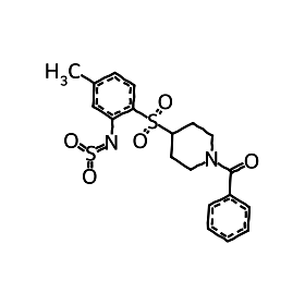 Cc1ccc(S(=O)(=O)C2CCN(C(=O)c3ccccc3)CC2)c(N=S(=O)=O)c1